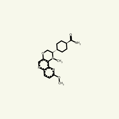 COc1ccc2ncc3c(c2n1)N(C)C([C@H]1CC[C@H](C(N)=O)CC1)CO3